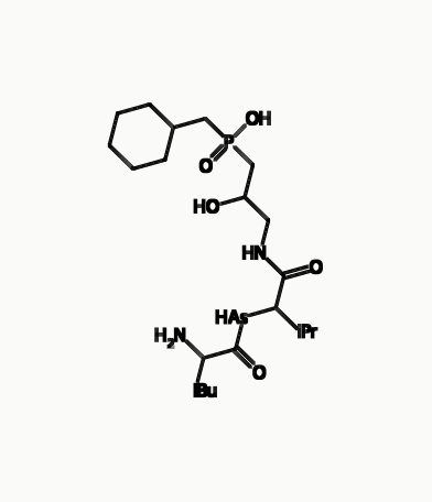 CCC(C)C(N)C(=O)[AsH]C(C(=O)NCC(O)CP(=O)(O)CC1CCCCC1)C(C)C